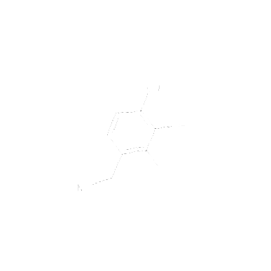 CCc1c(CC#N)ccc(O)c1O